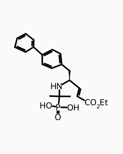 CCOC(=O)/C=C/[C@H](Cc1ccc(-c2ccccc2)cc1)NC(C)(C)P(=O)(O)O